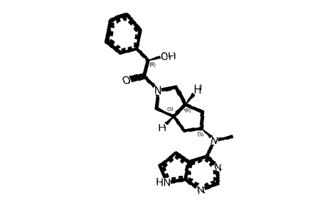 CN(c1ncnc2[nH]ccc12)[C@H]1C[C@@H]2CN(C(=O)[C@H](O)c3ccccc3)C[C@@H]2C1